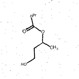 CCCC(=O)OC(C)CCO